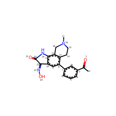 CC(=O)c1cccc(-c2cc3c(c4c2CCN(C)C4)NC(=O)/C3=N/O)c1